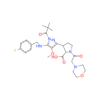 COc1c(C2CCN(C(=O)CN3CCOCC3)C2C(=O)O)nn(C(=O)C(C)(C)C)c1NCc1ccc(F)cc1